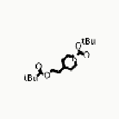 CC(C)(C)OC(=O)N1CCC(CCOC(=O)C(C)(C)C)CC1